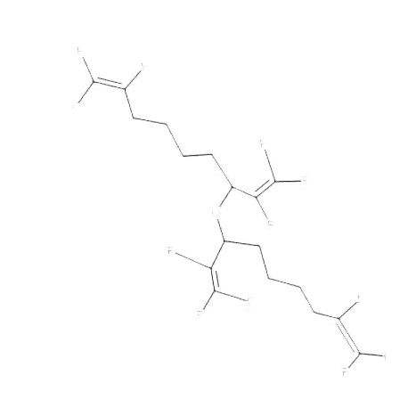 FC(F)=C(F)CCCCC(OC(CCCCC(F)=C(F)F)C(F)=C(F)F)C(F)=C(F)F